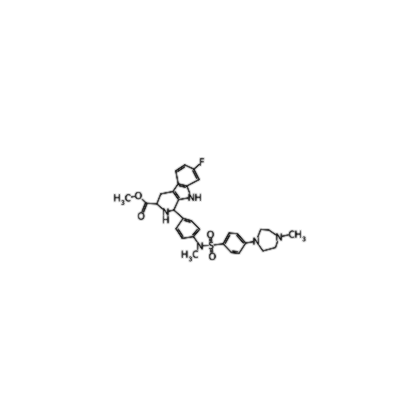 COC(=O)C1Cc2c([nH]c3cc(F)ccc23)C(c2ccc(N(C)S(=O)(=O)c3ccc(N4CCN(C)CC4)cc3)cc2)N1